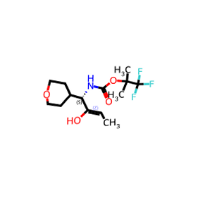 C/C=C(\O)[C@@H](NC(=O)OC(C)(C)C(F)(F)F)C1CCOCC1